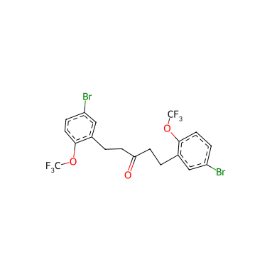 O=C(CCc1cc(Br)ccc1OC(F)(F)F)CCc1cc(Br)ccc1OC(F)(F)F